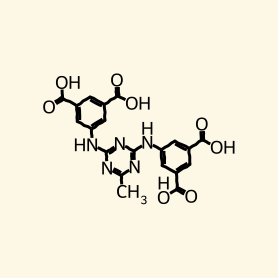 Cc1nc(Nc2cc(C(=O)O)cc(C(=O)O)c2)nc(Nc2cc(C(=O)O)cc(C(=O)O)c2)n1